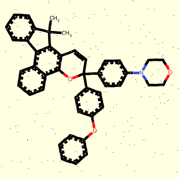 CC1(C)c2ccccc2-c2c1c1c(c3ccccc23)OC(c2ccc(Oc3ccccc3)cc2)(c2ccc(N3CCOCC3)cc2)C=C1